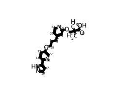 CC(C)(COc1cc(CCCOc2ccc(-c3ccn[nH]3)nc2)ccn1)C(=O)O